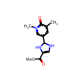 COC(=O)C1=CNC(c2cc(C)c(=O)n(C)c2)N1